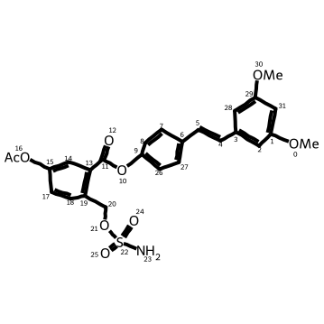 COc1cc(/C=C/c2ccc(OC(=O)c3cc(OC(C)=O)ccc3COS(N)(=O)=O)cc2)cc(OC)c1